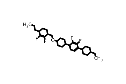 CCCC1CCC(COC2CCC(C3CC=C(C4CCC(CC)CC4)C(F)=C3F)CC2)C(F)=C1F